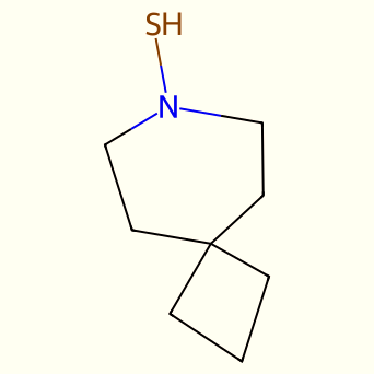 SN1CCC2(CCC2)CC1